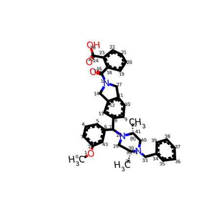 COc1cccc(C(c2ccc3c(c2)CN(C(=O)c2ccccc2C(=O)O)C3)N2C[C@@H](C)N(Cc3ccccc3)C[C@H]2C)c1